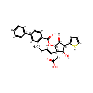 CCC=C[C@]1(CC(=O)O)C(O)C(c2cccs2)C(=O)[C@@H]1OC(=O)c1ccc(-c2ccccc2)cc1